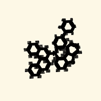 c1ccc(-c2ccc(N(c3cc4ccccc4c4c3ccc3ccccc34)c3cccc4sc5cnccc5c34)cc2)cc1